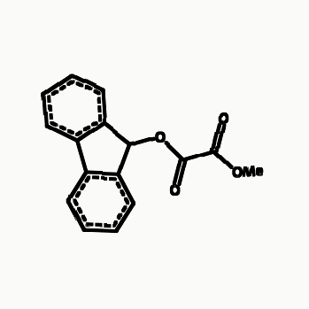 COC(=O)C(=O)OC1c2ccccc2-c2ccccc21